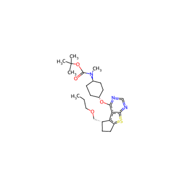 CCCOC[C@H]1CCc2sc3ncnc(O[C@H]4CC[C@H](N(C)C(=O)OC(C)(C)C)CC4)c3c21